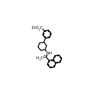 CCOC(=O)c1cccc(C2CCCC(N[C@H](C)c3cccc4ccccc34)C2)c1